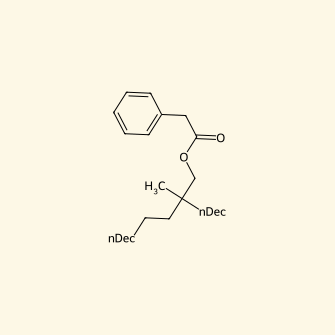 CCCCCCCCCCCCC(C)(CCCCCCCCCC)COC(=O)Cc1ccccc1